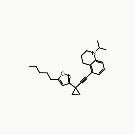 CCCCCc1cc(C2(C#Cc3cccc4c3CCCN4C(C)C)CC2)no1